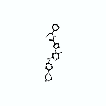 C=C(NC(CO)c1ccccc1)c1ccn(-c2cc(Nc3ccc(N4CCNCC4)cc3)ncc2C)c1